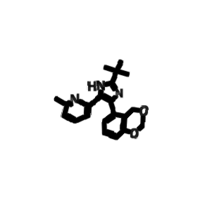 Cc1cccc(-c2[nH]c(C(C)(C)C)nc2-c2cccc3c2COCO3)n1